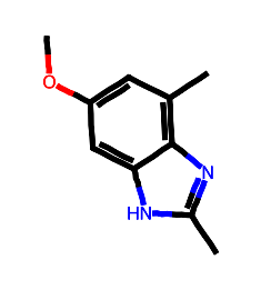 COc1cc(C)c2nc(C)[nH]c2c1